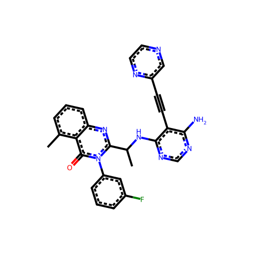 Cc1cccc2nc(C(C)Nc3ncnc(N)c3C#Cc3cnccn3)n(-c3cccc(F)c3)c(=O)c12